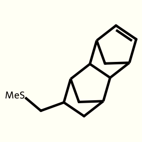 CSCC1CC2CC1C1C3C=CC(C3)C21